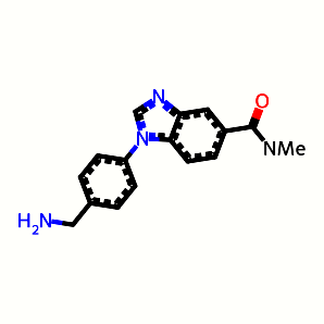 CNC(=O)c1ccc2c(c1)ncn2-c1ccc(CN)cc1